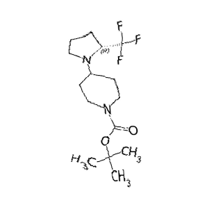 CC(C)(C)OC(=O)N1CCC(N2CCC[C@@H]2C(F)(F)F)CC1